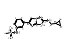 CS(=O)(=O)Nc1cccc(-c2cn3nc(NCC4CC4)sc3n2)c1